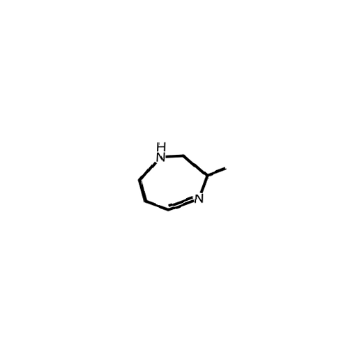 CC1CNCCC=N1